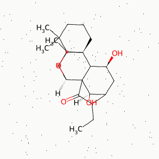 CCC1C(=O)C23C([C@@H](O)CC1[C@H]2O)[C@]12CCCC(C)(C)C1C[C@H]3OC2C